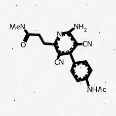 CNC(=O)CCc1nc(N)c(C#N)c(-c2ccc(NC(C)=O)cc2)c1C#N